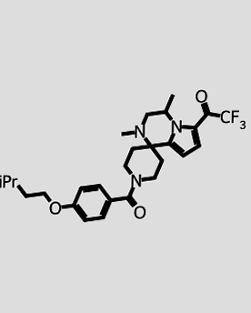 CC(C)CCOc1ccc(C(=O)N2CCC3(CC2)c2ccc(C(=O)C(F)(F)F)n2C(C)CN3C)cc1